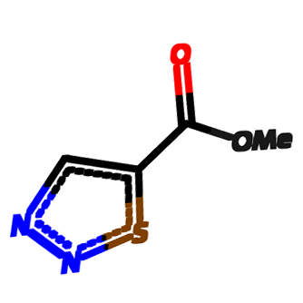 [CH2]OC(=O)c1cnns1